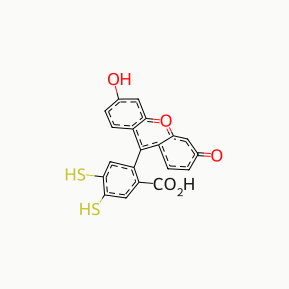 O=C(O)c1cc(S)c(S)cc1-c1c2ccc(=O)cc-2oc2cc(O)ccc12